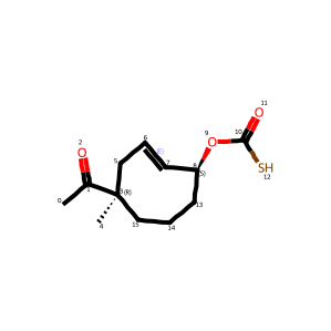 CC(=O)[C@@]1(C)C/C=C/[C@@H](OC(=O)S)CCC1